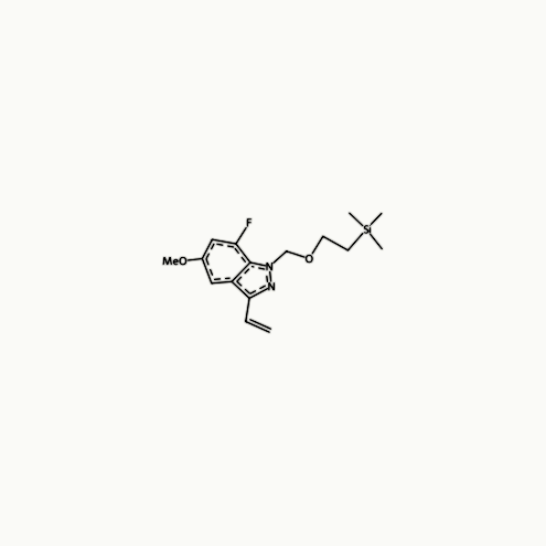 C=Cc1nn(COCC[Si](C)(C)C)c2c(F)cc(OC)cc12